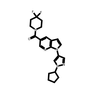 O=C(c1cnc2c(ccn2-c2cnn(C3CCCC3)c2)c1)N1CCC(F)(F)CC1